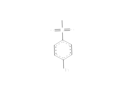 [CH2]CCc1ccc(S(C)(=O)=O)cc1